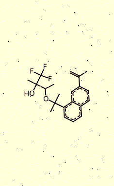 C=C(C)c1ccc2cccc(C(C)(C)OC(C)C(C)(O)C(F)(F)F)c2c1